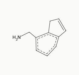 NCc1cccc2c1CC=C2